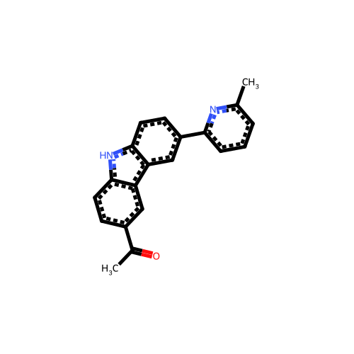 CC(=O)c1ccc2[nH]c3ccc(-c4cccc(C)n4)cc3c2c1